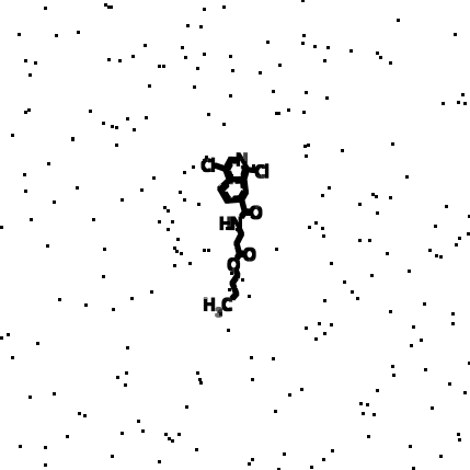 CCCCOC(=O)CCNC(=O)c1ccc2c(Cl)cnc(Cl)c2c1